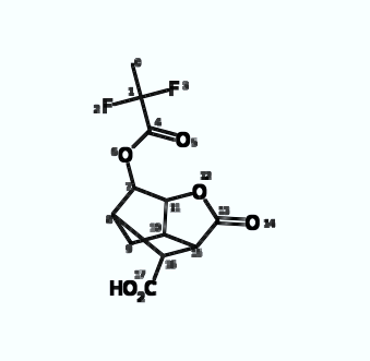 CC(F)(F)C(=O)OC1C2CC3C1OC(=O)C3C2C(=O)O